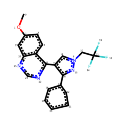 COc1[c]cc2c(-c3cn(CC(F)(F)F)nc3-c3ccccc3)ncnc2c1